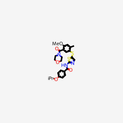 COc1cc(C)c(Sc2cnc(NC(=O)c3ccc(OC(C)C)cc3)s2)cc1C(=O)N1CCOCC1